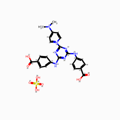 CN(C)c1cc[n+](-c2nc(Nc3ccc(C(=O)O)cc3)nc(Nc3ccc(C(=O)O)cc3)n2)cc1.O=S(=O)(O)O